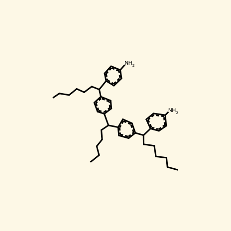 CCCCCCC(c1ccc(N)cc1)c1ccc(C(CCCCC)c2ccc(C(CCCCCC)c3ccc(N)cc3)cc2)cc1